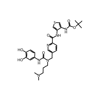 CN(C)CCCN(Cc1ccc(C(=O)Nc2cscc2NC(=O)OC(C)(C)C)nc1)C(=O)Nc1ccc(O)c(O)c1